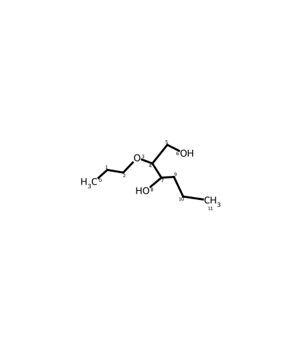 CCCOC(CO)C(O)CCC